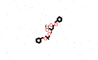 CCC(=O)[C@H](COCC(C)(C)OCc1ccccc1)CC(=O)OCc1ccccc1